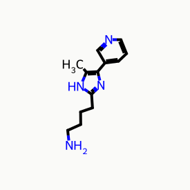 Cc1[nH]c(CCCCN)nc1-c1cccnc1